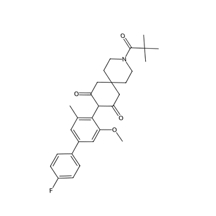 COc1cc(-c2ccc(F)cc2)cc(C)c1C1C(=O)CC2(CCN(C(=O)C(C)(C)C)CC2)CC1=O